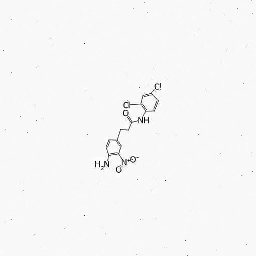 Nc1ccc(CCC(=O)Nc2ccc(Cl)cc2Cl)cc1[N+](=O)[O-]